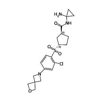 NC1(NC(=O)[C@H]2CC[C@H](S(=O)(=O)c3ccc(N4CC5(COC5)C4)cc3Cl)C2)CC1